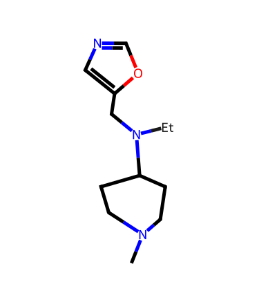 CCN(Cc1cnco1)C1CCN(C)CC1